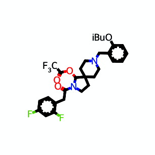 CC(C)COc1ccccc1CN1CCC2(CC1)CCN(C(=O)Cc1ccc(F)cc1F)C2OC(=O)C(F)(F)F